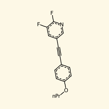 CCCOc1ccc(C#Cc2cnc(F)c(F)c2)cc1